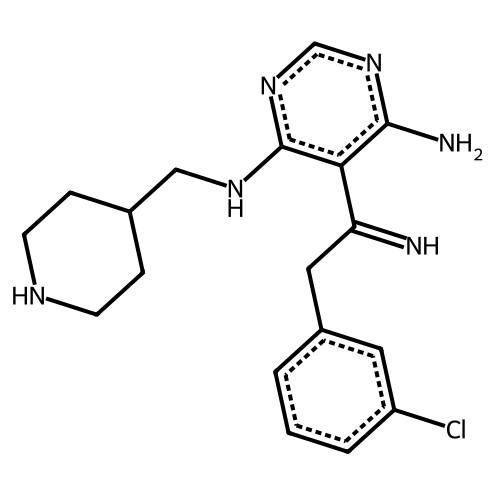 N=C(Cc1cccc(Cl)c1)c1c(N)ncnc1NCC1CCNCC1